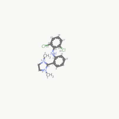 CN1CCN(C)C1c1ccccc1Nc1c(Cl)cccc1Cl